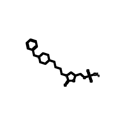 CS(=O)(=O)OCC1CN(CCCCC2CCN(Cc3ccccc3)CC2)C(=O)O1